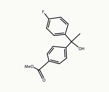 COC(=O)c1ccc(C(C)(O)c2ccc(F)cc2)cc1